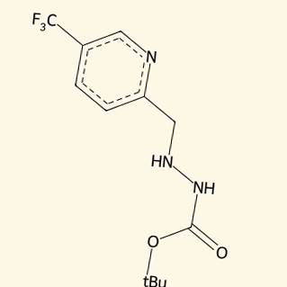 CC(C)(C)OC(=O)NNCc1ccc(C(F)(F)F)cn1